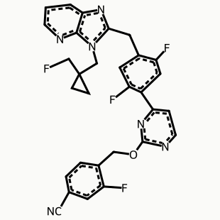 N#Cc1ccc(COc2nccc(-c3cc(F)c(Cc4nc5cccnc5n4CC4(CF)CC4)cc3F)n2)c(F)c1